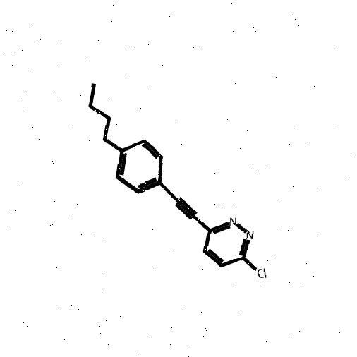 CCCCc1ccc(C#Cc2ccc(Cl)nn2)cc1